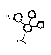 FC(F)F.S.c1ccc(-c2cccc(-c3ccsc3)c2-c2ccccc2)cc1